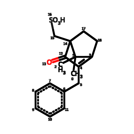 CC1(C)C2=C(Cc3ccccc3)C(=O)C1(CS(=O)(=O)O)CC2